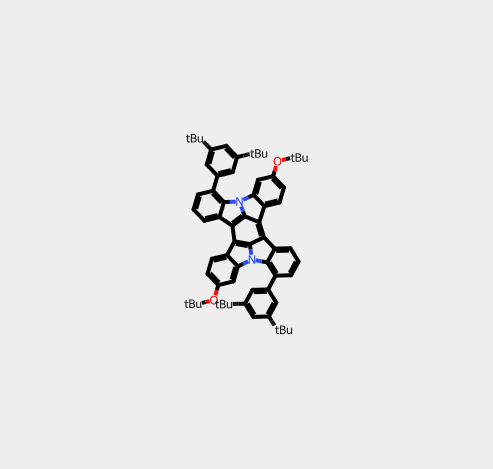 CC(C)(C)Oc1ccc2c3c4c5cccc(-c6cc(C(C)(C)C)cc(C(C)(C)C)c6)c5n5c6cc(OC(C)(C)C)ccc6c(c6c7cccc(-c8cc(C(C)(C)C)cc(C(C)(C)C)c8)c7n(c2c1)c36)c45